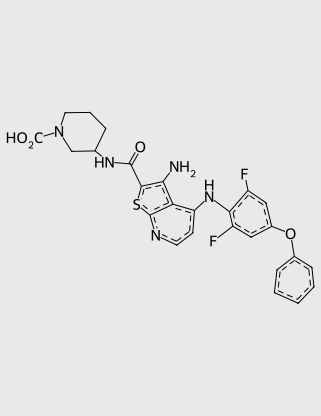 Nc1c(C(=O)NC2CCCN(C(=O)O)C2)sc2nccc(Nc3c(F)cc(Oc4ccccc4)cc3F)c12